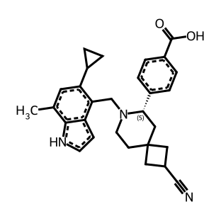 Cc1cc(C2CC2)c(CN2CCC3(CC(C#N)C3)C[C@H]2c2ccc(C(=O)O)cc2)c2cc[nH]c12